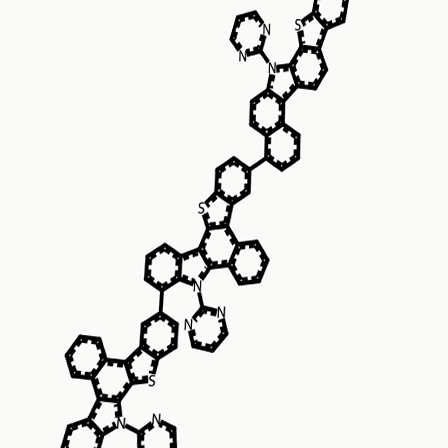 c1cnc(-n2c3ccc4c(-c5ccc6sc7c(c6c5)c5ccccc5c5c7c6cccc(-c7ccc8sc9c(c8c7)c7ccccc7c7c8ccccc8n(-c8ncccn8)c97)c6n5-c5ncccn5)cccc4c3c3ccc4c5ccccc5sc4c32)nc1